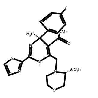 COC(=O)C1=C(CN2CCOC[C@H]2C(=O)O)NC(c2nccs2)=N[C@@]1(C)c1ccc(F)cc1